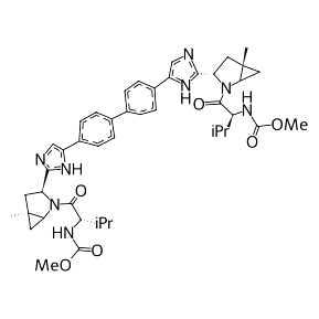 COC(=O)N[C@H](C(=O)N1C2C[C@@]2(C)C[C@H]1c1ncc(-c2ccc(-c3ccc(-c4cnc([C@@H]5C[C@]6(C)CC6N5C(=O)[C@@H](NC(=O)OC)C(C)C)[nH]4)cc3)cc2)[nH]1)C(C)C